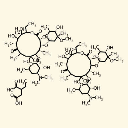 CCC(CC(=O)O)C(=O)O.CC[C@H]1OC(=O)[C@H](C)[C@@H](O[C@H]2C[C@@](C)(OC)[C@@H](O)[C@H](C)O2)[C@H](C)[C@@H](O[C@@H]2O[C@H](C)C[C@H](N(C)C)[C@H]2O)[C@](C)(O)C[C@@H](C)C(=O)[C@H](C)[C@@H](O)[C@]1(C)O.CC[C@H]1OC(=O)[C@H](C)[C@@H](O[C@H]2C[C@@](C)(OC)[C@@H](O)[C@H](C)O2)[C@H](C)[C@@H](O[C@@H]2O[C@H](C)C[C@H](N(C)C)[C@H]2O)[C@](C)(O)C[C@@H](C)C(=O)[C@H](C)[C@@H](O)[C@]1(C)O